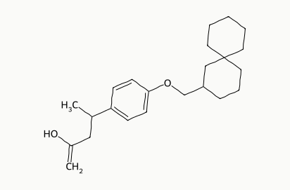 C=C(O)CC(C)c1ccc(OCC2CCCC3(CCCCC3)C2)cc1